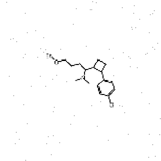 [CH2]COCCCC(C1CCC1c1ccc(Cl)cc1)N(C)C